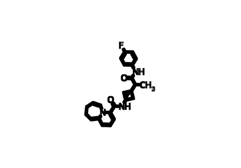 CC(C(=O)Nc1ccc(F)cc1)C12CC(NC(=O)C3=CC=CC4=CCCC=CN43)(C1)C2